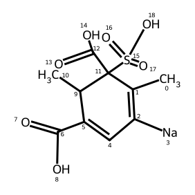 CC1=[C]([Na])C=C(C(=O)O)C(C)C1(C(=O)O)S(=O)(=O)O